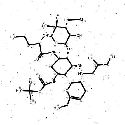 CN[C@@H]1[C@@H](O)[C@@H](O[C@H]2[C@H](NC(=O)[C@@H](O)CCN)C[C@H](NC(=O)OC(C)(C)C)C([C@H]3OC(CN)=CC[C@H]3NCC(O)CO)[C@@H]2O)OC[C@]1(C)O